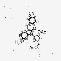 CC(=O)OC[C@@H]1C[C@@H](OC(C)=O)[C@@H](n2c(=O)n(Cc3cccc(C#N)c3)c3cnc(N)nc32)O1